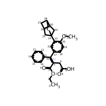 CCOC(=O)/C(CC(=O)O)=C(\c1ccccc1)c1ccc(OC)c(C23CC4CC(C2)C4C3)c1